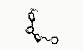 COc1ccc(-c2cncc(C3=C4C=C4N(CCN4CCCCC4)C3)c2)cc1